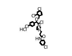 Cl.O=C(CCN1C=CN(C(Cl)C(OCc2ccc(Cl)cc2Cl)c2ccc(Cl)cc2)C1)Nc1ccc(Cl)cc1